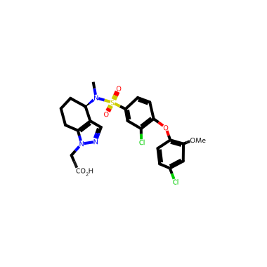 COc1cc(Cl)ccc1Oc1ccc(S(=O)(=O)N(C)[C@@H]2CCCc3c2cnn3CC(=O)O)cc1Cl